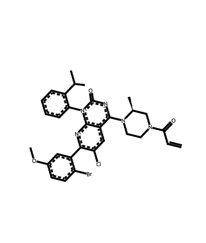 C=CC(=O)N1CCN(c2nc(=O)n(-c3ccccc3C(C)C)c3nc(-c4cc(OC)ccc4Br)c(Cl)cc23)[C@@H](C)C1